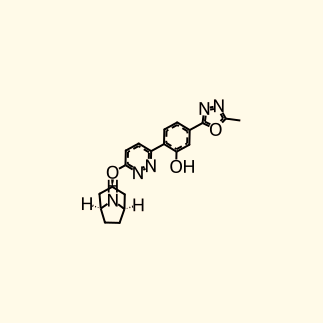 Cc1nnc(-c2ccc(-c3ccc(O[C@H]4C[C@H]5CC[C@@H](C4)N5)nn3)c(O)c2)o1